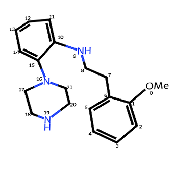 COc1ccccc1CCNc1ccccc1N1CCNCC1